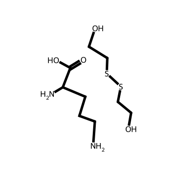 NCCCC(N)C(=O)O.OCCSSCCO